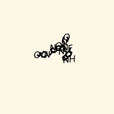 Fc1ccc2[nH]ccc2c1-c1nc(N2CCOCC2)c2oc3ncc(CN4CCC5(CC4)COC5)cc3c2n1